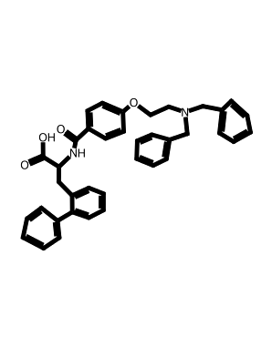 O=C(NC(Cc1ccccc1-c1ccccc1)C(=O)O)c1ccc(OCCN(Cc2ccccc2)Cc2ccccc2)cc1